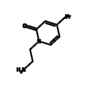 CC(C)c1ccn(CCN)c(=O)c1